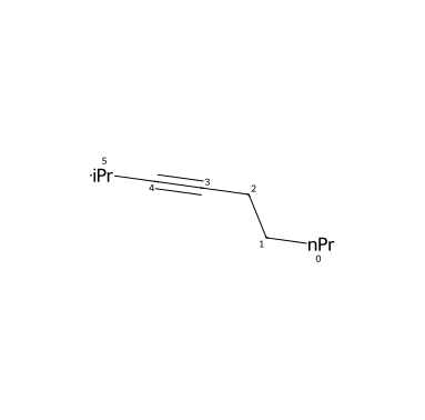 [CH2]CCCCC#C[C](C)C